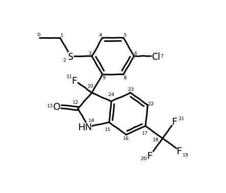 CCSc1ccc(Cl)cc1C1(F)C(=O)Nc2cc(C(F)(F)F)ccc21